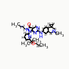 C/C=C/Cn1c(=O)c2cnc(Nc3ccc4c(c3)CN(C)CC43CC3)nc2n1-c1cccc(C(C)(C)OCCC)n1